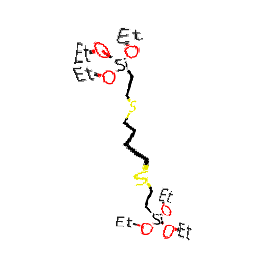 CCO[Si](CCSCCCCSCC[Si](OCC)(OCC)OCC)(OCC)OCC